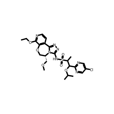 CCOc1nccc2c1OC[C@@H](COC)n1c(NS(=O)(=O)C(C)C(OC(C)C)c3ncc(Cl)cn3)nnc1-2